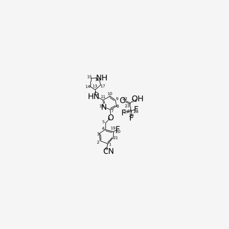 N#Cc1ccc(COc2cccc(N[C@H]3CCNC3)n2)c(F)c1.O=C(O)C(F)(F)F